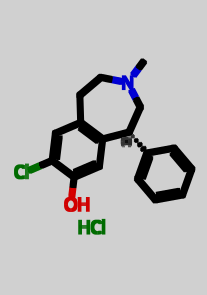 CN1CCc2cc(Cl)c(O)cc2[C@@H](c2ccccc2)C1.Cl